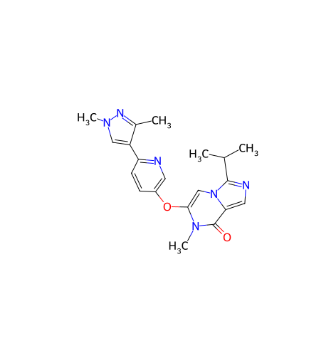 Cc1nn(C)cc1-c1ccc(Oc2cn3c(C(C)C)ncc3c(=O)n2C)cn1